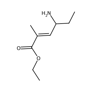 CCOC(=O)C(C)=CC(N)CC